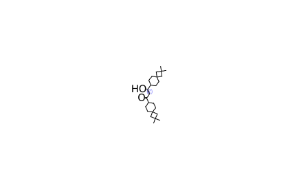 CC1(C)CC2(CCC(C(=O)/C=C(\O)C3CCC4(CC3)CC(C)(C)C4)CC2)C1